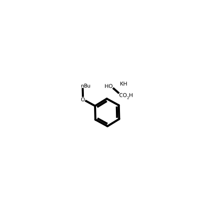 CCCCOc1ccccc1.O=C(O)O.[KH]